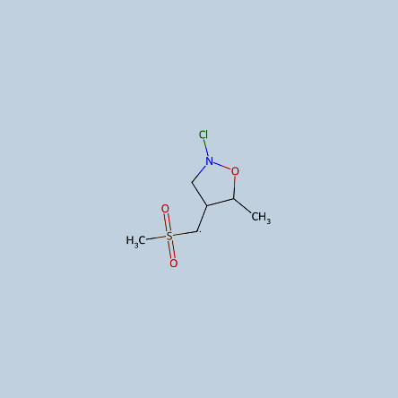 CC1ON(Cl)CC1[CH]S(C)(=O)=O